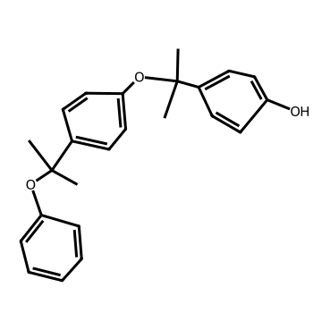 CC(C)(Oc1ccc(C(C)(C)Oc2ccccc2)cc1)c1ccc(O)cc1